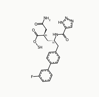 NC(=O)C[C@@H](C[C@@H](Cc1ccc(-c2cccc(F)c2)cc1)NC(=O)c1cnn[nH]1)C(=O)OS